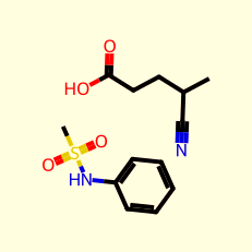 CC(C#N)CCC(=O)O.CS(=O)(=O)Nc1ccccc1